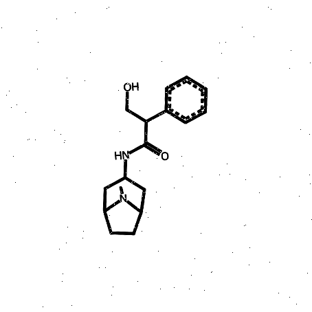 CN1C2CCC1CC(NC(=O)C(CO)c1ccccc1)C2